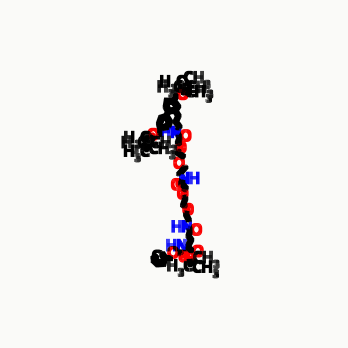 CC(C)(C)OC(=O)C(CCC(=O)NCCOCCOCC(=O)NCCOCCOCC(=O)NCCCc1cc(CO[Si](C)(C)C(C)(C)C)ccc1-c1ccc(CO[Si](C)(C)C(C)(C)C)cc1)NC(=O)OCc1ccccc1